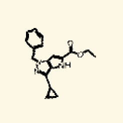 CCOC(=O)c1cc2c([nH]1)c(C1CC1)nn2Cc1ccccc1